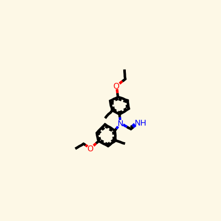 CCOc1ccc(N(C=N)c2ccc(OCC)cc2C)c(C)c1